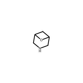 [CH]1C2CNCC1O2